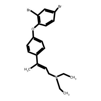 CCN(CC)CC=C(C)c1ccc(Oc2ccc(Br)cc2Br)cc1